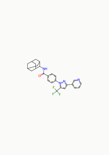 O=C(NC1C2CC3CC(C2)CC1C3)c1ccc(-n2nc(-c3cccnc3)cc2C(F)(F)F)cc1